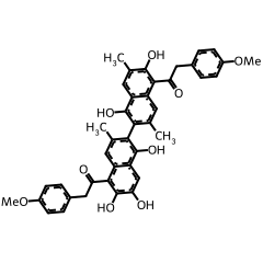 COc1ccc(CC(=O)c2c(O)c(C)cc3c(O)c(-c4c(C)cc5c(C(=O)Cc6ccc(OC)cc6)c(O)c(O)cc5c4O)c(C)cc23)cc1